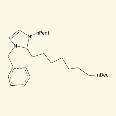 CCCCCCCCCCCCCCCCCC1N(CCCCC)C=CN1Cc1ccccc1